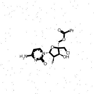 CC(C)C(=O)OC[C@@]1(CCl)O[C@@H](n2ccc(N)nc2=O)[C@H](F)[C@@H]1O